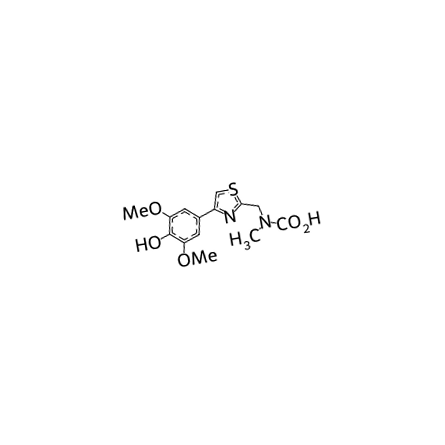 COc1cc(-c2csc(CN(C)C(=O)O)n2)cc(OC)c1O